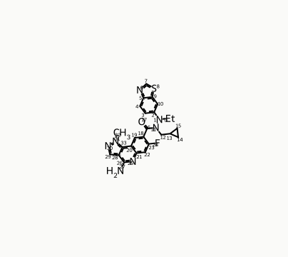 CCN(c1ccc2ncsc2c1)N(CC1CC1)C(=O)c1cc2c(cc1F)nc(N)c1cnn(C)c12